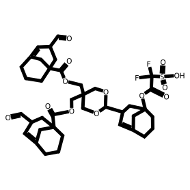 O=CC1C=C2CCCC(C(=O)OCC3(COC(=O)C45CCCC(=CC(C=O)C4)C5)COC(C4C=C5CCCC(OC(=O)C(F)(F)S(=O)(=O)O)(C5)C4)OC3)(C2)C1